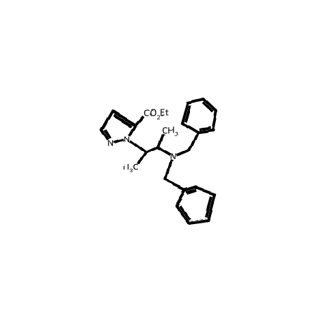 CCOC(=O)c1ccnn1C(C)C(C)N(Cc1ccccc1)Cc1ccccc1